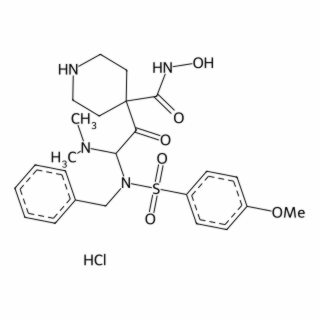 COc1ccc(S(=O)(=O)N(Cc2ccccc2)C(C(=O)C2(C(=O)NO)CCNCC2)N(C)C)cc1.Cl